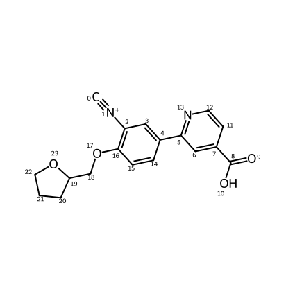 [C-]#[N+]c1cc(-c2cc(C(=O)O)ccn2)ccc1OCC1CCCO1